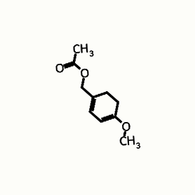 COC1=CC=C(COC(C)=O)CC1